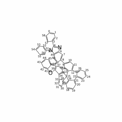 c1ccc(-c2nc3cc(-c4ccc5c(c4)C4(c6ccccc6-c6ccccc6-5)c5ccccc5-c5c4ccc4c5oc5ccccc54)ccc3n2-c2ccccc2)cc1